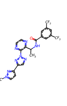 CC(NC(=O)c1cc(C(F)(F)F)cc(C(F)(F)F)c1)c1nccnc1-n1ncc(-c2ccn(C)n2)n1